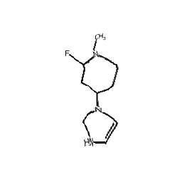 CN1CCC(N2C=CNC2)CC1F